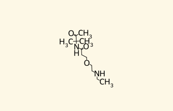 CCNCCOCCC(=O)NC(C)(C)C(C)=O